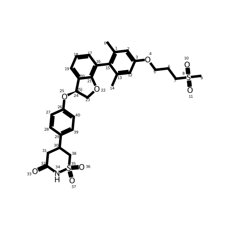 Cc1cc(OCCCS(C)(=O)=O)cc(C)c1-c1cccc2c1OC[C@H]2Oc1ccc(C2CC(=O)NS(=O)(=O)C2)cc1